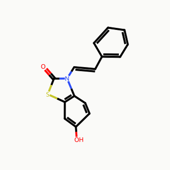 O=c1sc2cc(O)ccc2n1C=Cc1ccccc1